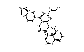 CCOc1nc2c(c(N3CCn4cncc4C3)n1)CO[C@H](c1cccc3cccc(Cl)c13)C2